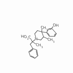 CC1CN(C(C)(Cc2ccccc2)C(=O)O)CCC1(C)c1cccc(O)c1